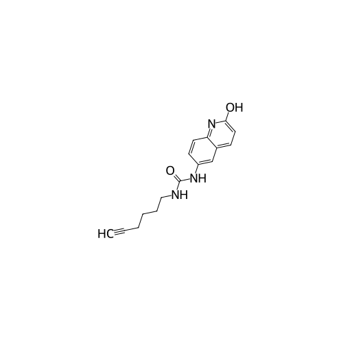 C#CCCCCNC(=O)Nc1ccc2nc(O)ccc2c1